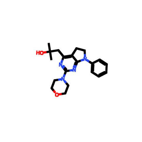 CC(C)(O)Cc1nc(N2CCOCC2)nc2c1CCN2c1ccccc1